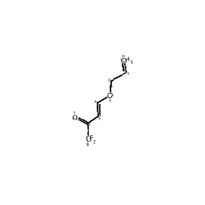 C=CCOC=CC(=O)C(F)(F)F